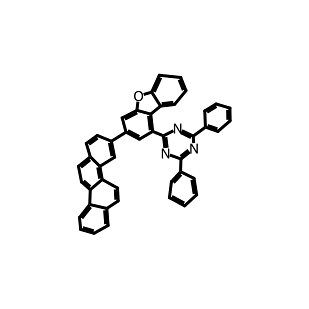 c1ccc(-c2nc(-c3ccccc3)nc(-c3cc(-c4ccc5ccc6c7ccccc7ccc6c5c4)cc4oc5ccccc5c34)n2)cc1